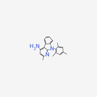 Cc1cc(C)c(-n2c3ccccc3c3c(N)cc(C)nc32)c(C)c1